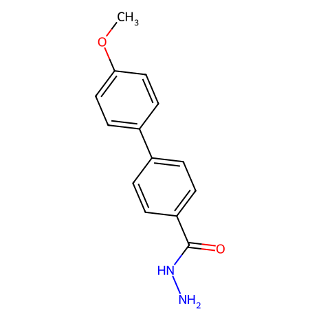 COc1ccc(-c2ccc(C(=O)NN)cc2)cc1